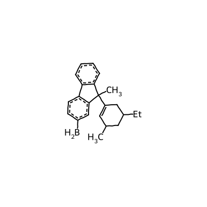 Bc1ccc2c(c1)C(C)(C1=CC(C)CC(CC)C1)c1ccccc1-2